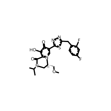 COC[C@@H]1CN(C(C)C)C(=O)c2c(O)c(=O)c(-c3nnc(Cc4ccc(F)cc4F)s3)cn21